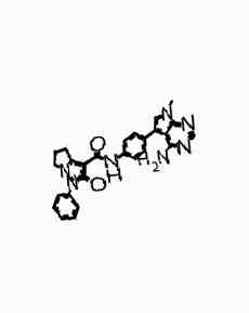 Cn1cc(-c2ccc(NC(=O)c3c4n(n(-c5ccccc5)c3=O)CCC4)cc2)c2c(N)ncnc21